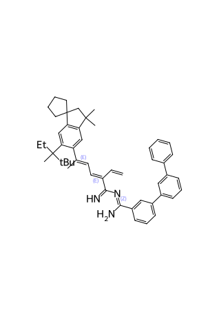 C=C/C(=C\C=C(/C)c1cc2c(cc1C(C)(CC)C(C)(C)C)C1(CCCC1)CC2(C)C)C(=N)/N=C(\N)c1cccc(-c2cccc(-c3ccccc3)c2)c1